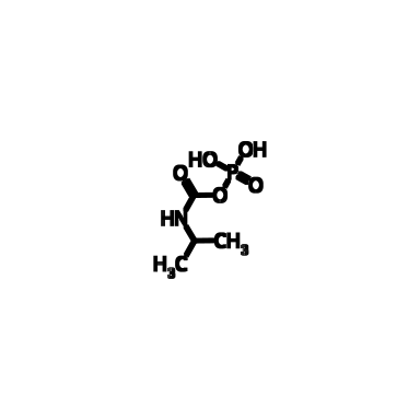 CC(C)NC(=O)OP(=O)(O)O